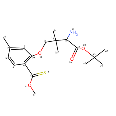 COC(=S)c1ccc(C)cc1OCC(C)(C)C(N)C(=O)OC(C)(C)C